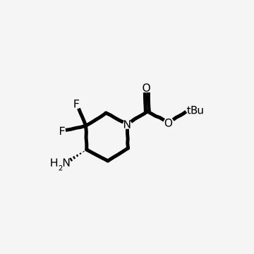 CC(C)(C)OC(=O)N1CC[C@H](N)C(F)(F)C1